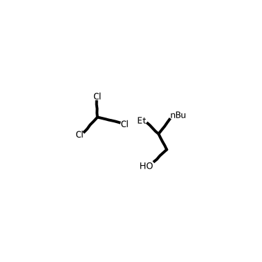 CCCCC(CC)CO.ClC(Cl)Cl